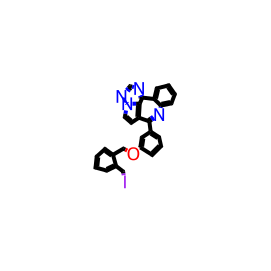 ICc1ccccc1COc1cccc(C2=Nc3ccccc3-c3ncnn4ccc2c34)c1